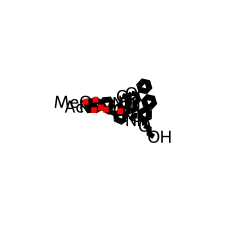 COc1ccc(C#Cc2ccc3c(c2)[C@]2(C(=O)N3)[C@H](c3cccc(OCCO)c3)N3[C@H](c4ccccc4)[C@H](c4ccccc4)OC(=O)[C@H]3[C@@H]2C(=O)Nc2ccc(N3CCN(C(C)=O)CC3)cc2)cc1